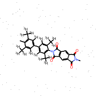 [2H]c1c(-c2c([2H])c(C([2H])([2H])[2H])c(-n3c(=O)c4cc5c(=O)n(C)c(=O)c5cc4c3=O)c(C([2H])([2H])[2H])c2[2H])c([2H])c(C([2H])([2H])[2H])c(C)c1C([2H])([2H])[2H]